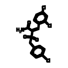 NC(=O)/C(=C\c1ccc(Cl)cc1Cl)S(=O)(=O)Cc1ccc(Cl)cc1